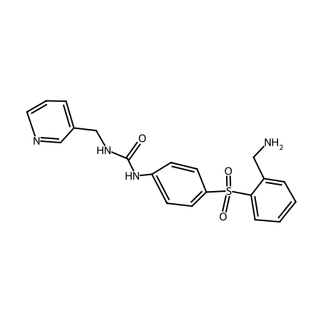 NCc1ccccc1S(=O)(=O)c1ccc(NC(=O)NCc2cccnc2)cc1